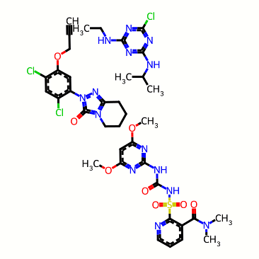 C#CCOc1cc(-n2nc3n(c2=O)CCCC3)c(Cl)cc1Cl.CCNc1nc(Cl)nc(NC(C)C)n1.COc1cc(OC)nc(NC(=O)NS(=O)(=O)c2ncccc2C(=O)N(C)C)n1